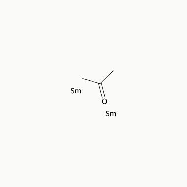 CC(C)=O.[Sm].[Sm]